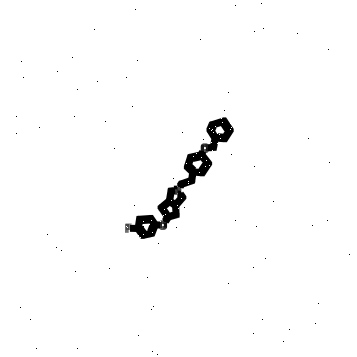 Fc1ccc(OC2CC3CN(CCc4ccc(OCc5ccccc5)cc4)CC3C2)cc1